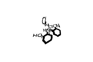 N#CC1CCCCC1O.N#C[C@@H]1CCCC[C@@H]1O.[Cl][Pt][Cl]